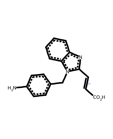 Nc1ccc(Cn2c(/C=C/C(=O)O)nc3ccccc32)cc1